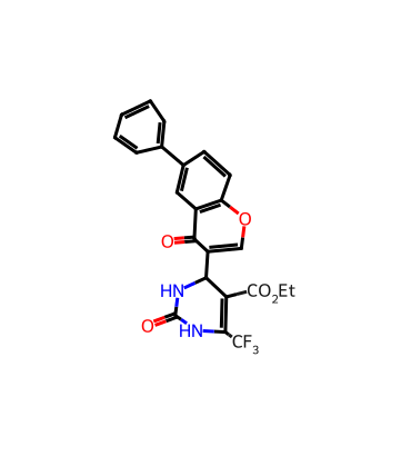 CCOC(=O)C1=C(C(F)(F)F)NC(=O)NC1c1coc2ccc(-c3ccccc3)cc2c1=O